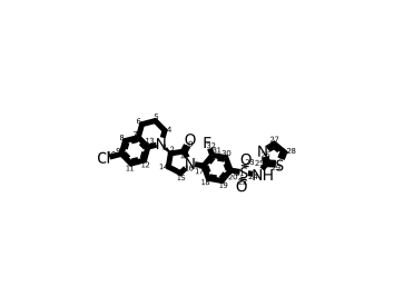 O=C1[C@H](N2CCCc3cc(Cl)ccc32)CCN1c1ccc(S(=O)(=O)Nc2nccs2)cc1F